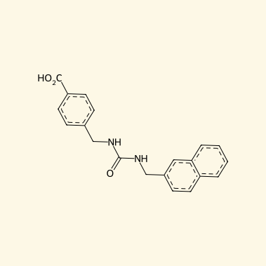 O=C(NCc1ccc(C(=O)O)cc1)NCc1ccc2ccccc2c1